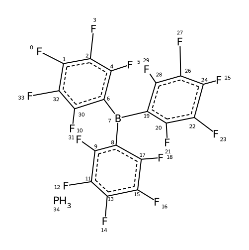 Fc1c(F)c(F)c(B(c2c(F)c(F)c(F)c(F)c2F)c2c(F)c(F)c(F)c(F)c2F)c(F)c1F.P